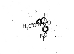 CCOc1ccc2c(n1)N(c1ccc(OC(F)F)cc1)C(=O)NC2